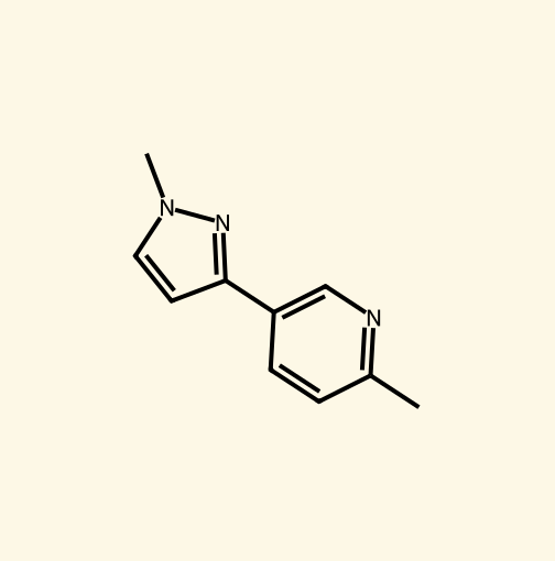 Cc1ccc(-c2ccn(C)n2)cn1